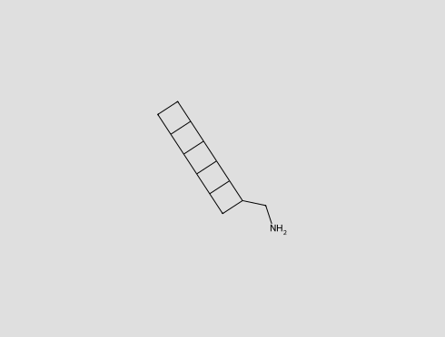 NCC1CC2C1C1C3C4CCC4C3C21